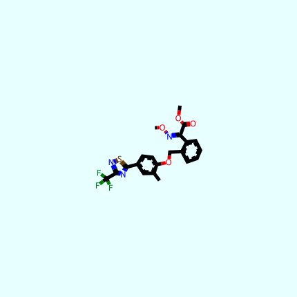 CON=C(C(=O)OC)c1ccccc1COc1ccc(-c2nc(C(F)(F)F)ns2)cc1C